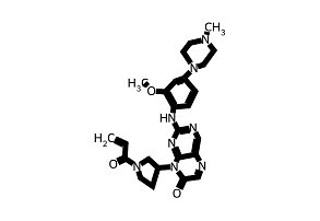 C=CC(=O)N1CCC(n2c(=O)cnc3cnc(Nc4ccc(N5CCN(C)CC5)cc4OC)nc32)C1